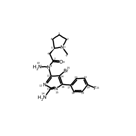 CN1CCC[C@@H]1CC(=O)N(N)c1nc(N)nc(-c2ccc(F)cc2)c1Br